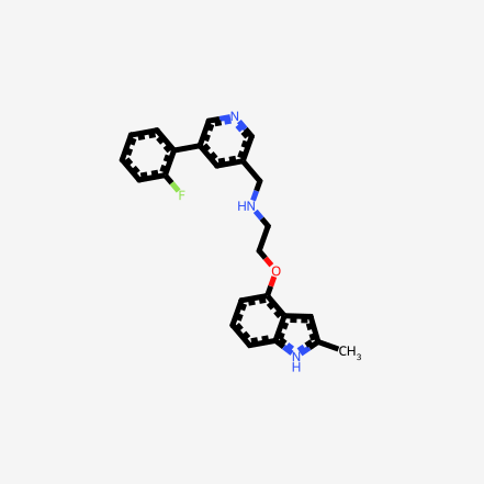 Cc1cc2c(OCCNCc3cncc(-c4ccccc4F)c3)cccc2[nH]1